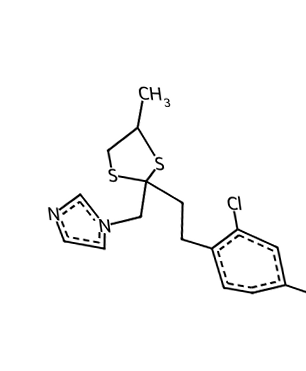 CC1CSC(CCc2ccc(Cl)cc2Cl)(Cn2ccnc2)S1